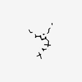 CCOC(=O)c1cc(CC(C)(C)NC(=O)OC(C)(C)C)n(CCOC)n1